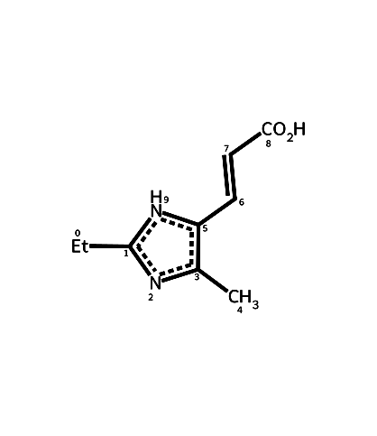 CCc1nc(C)c(C=CC(=O)O)[nH]1